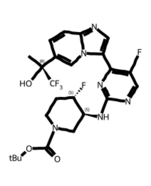 CC(C)(C)OC(=O)N1CC[C@H](F)[C@@H](Nc2ncc(F)c(-c3cnc4ccc([C@@](C)(O)C(F)(F)F)cn34)n2)C1